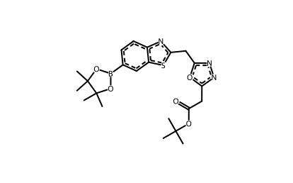 CC(C)(C)OC(=O)Cc1nnc(Cc2nc3ccc(B4OC(C)(C)C(C)(C)O4)cc3s2)o1